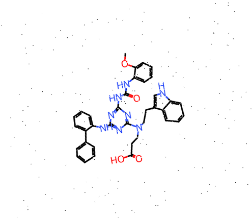 COc1ccccc1NC(=O)Nc1nc(Nc2ccccc2-c2ccccc2)nc(N(CCC(=O)O)CCc2c[nH]c3ccccc23)n1